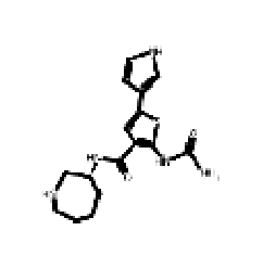 NC(=O)Nc1sc(-c2cc[nH]c2)cc1C(=O)N[C@H]1CCCCNC1